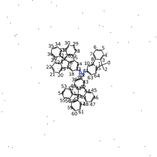 CC1(C)c2ccccc2-c2cc(N(c3ccc4c(c3)-c3ccccc3C4(c3ccccc3)c3ccccc3)c3ccc4c(c3)-c3ccccc3C4(c3ccccc3)c3ccccc3)ccc21